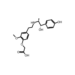 COc1cc(CCN[C@@H](C)[C@@H](O)c2ccc(O)cc2)ccc1OCC(=O)O